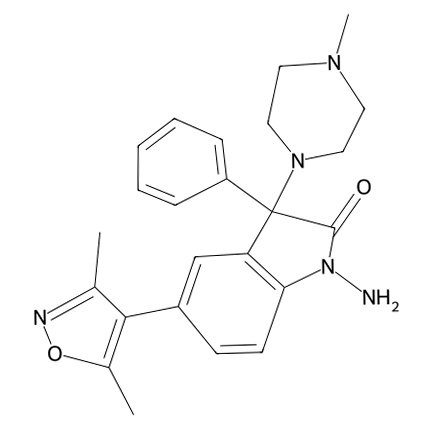 Cc1noc(C)c1-c1ccc2c(c1)C(c1ccccc1)(N1CCN(C)CC1)C(=O)N2N